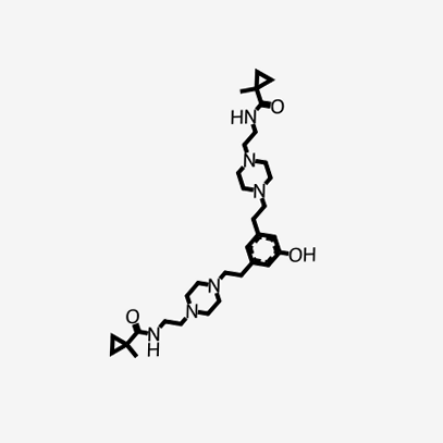 CC1(C(=O)NCCN2CCN(CCc3cc(O)cc(CCN4CCN(CCNC(=O)C5(C)CC5)CC4)c3)CC2)CC1